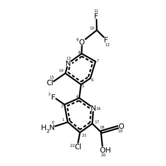 Nc1c(F)c(-c2ccc(OC(F)F)nc2Cl)nc(C(=O)O)c1Cl